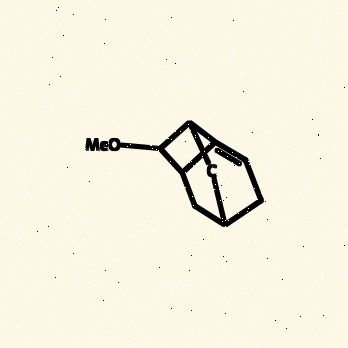 COC1C2CC3CC=C2C1C3